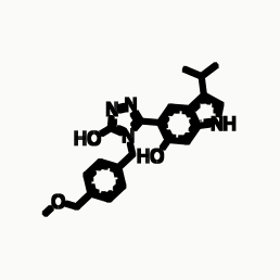 COCc1ccc(Cn2c(O)nnc2-c2cc3c(C(C)C)c[nH]c3cc2O)cc1